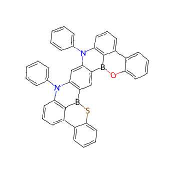 c1ccc(N2c3cc4c(cc3B3Oc5ccccc5-c5cccc2c53)B2Sc3ccccc3-c3cccc(c32)N4c2ccccc2)cc1